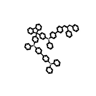 C(=C(\Cc1ccccc1)c1ccccc1)/c1ccc(-c2ccc(N(c3ccccc3)c3ccc(C4(c5ccc(N(c6ccccc6)c6ccc(-c7ccc(N(c8ccccc8)c8ccccc8)cc7)cc6)cc5)c5ccccc5-c5ccccc54)cc3)cc2)cc1